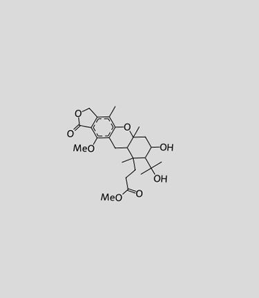 COC(=O)CCC1(C)C(C(C)(C)O)C(O)CC2(C)Oc3c(C)c4c(c(OC)c3CC21)C(=O)OC4